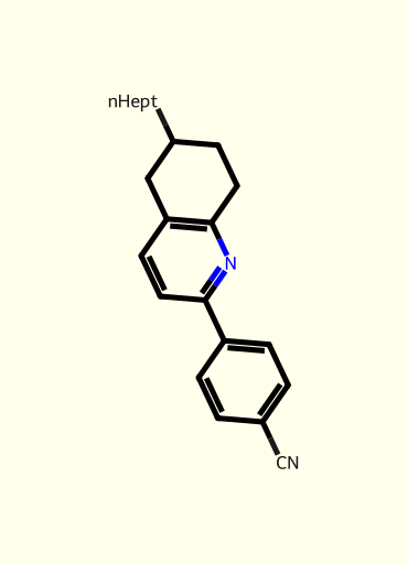 CCCCCCCC1CCc2nc(-c3ccc(C#N)cc3)ccc2C1